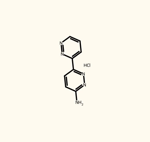 Cl.Nc1ccc(-c2cccnn2)nn1